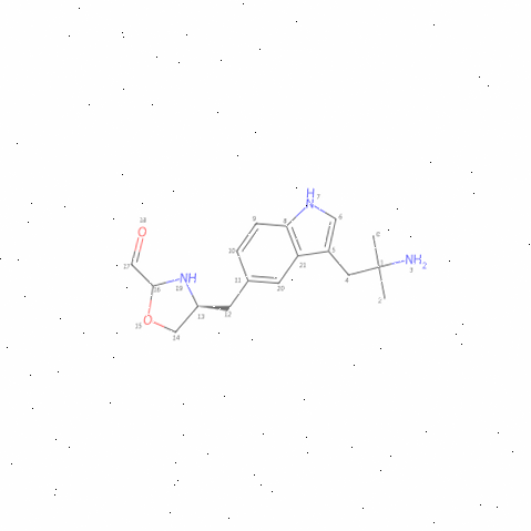 CC(C)(N)Cc1c[nH]c2ccc(C[C@H]3COC(C=O)N3)cc12